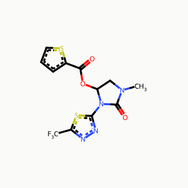 CN1CC(OC(=O)c2cccs2)N(c2nnc(C(F)(F)F)s2)C1=O